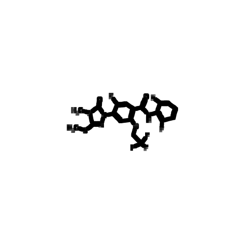 CSc1nn(-c2cc(OCC(F)(F)F)c(C(=O)Nc3c(F)cccc3F)cc2F)c(=O)n1C